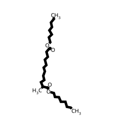 CCCCCCCCOC(=O)CCCCCCCCCC(C)C(=O)OCCCCCCCC